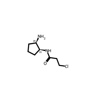 N[C@@H]1CCC[C@@H]1NC(=O)CCCl